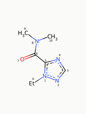 CCn1ncnc1C(=O)N(C)C